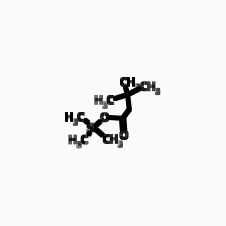 CC(C)(C)CC(=O)O[Si](C)(C)C